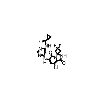 O=C1NC2(CC(F)(F)C2)n2c1c(Cl)cc(Nc1cc(NC(=O)C3CC3)ncn1)c2=O